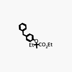 CCOC(=O)C(C)(CC)Oc1ccc(Cc2ccccc2)cc1